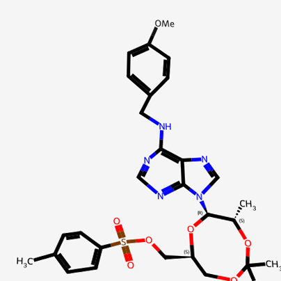 COc1ccc(CNc2ncnc3c2ncn3[C@@H]2O[C@H](COS(=O)(=O)c3ccc(C)cc3)COC(C)(C)O[C@H]2C)cc1